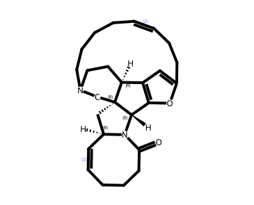 O=C1CCC/C=C\[C@H]2C[C@@]34CN5CCCC/C=C\CCc6cc(c(o6)[C@@H]3N12)[C@@H]4CC5